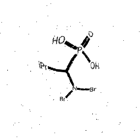 CC(C)C(N(Br)Br)P(=O)(O)O